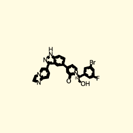 O=c1cc(-c2ccc3[nH]nc(-c4ccc5nccn5c4)c3c2)ccn1[C@H](CO)c1cc(F)cc(Br)c1